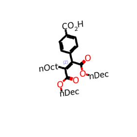 CCCCCCCCCCOC(=O)/C(CCCCCCCC)=C(\C(=O)OCCCCCCCCCC)c1ccc(C(=O)O)cc1